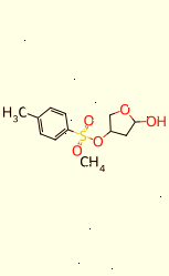 C.Cc1ccc(S(=O)(=O)OC2COC(O)C2)cc1